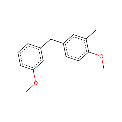 COc1cccc(Cc2ccc(OC)c(C)c2)c1